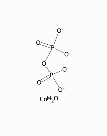 O.O=P([O-])([O-])OP(=O)([O-])[O-].[Co+4]